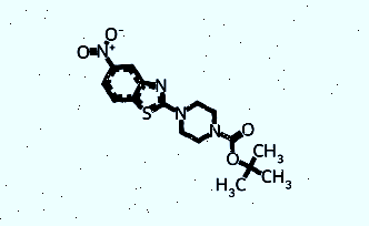 CC(C)(C)OC(=O)N1CCN(c2nc3cc([N+](=O)[O-])ccc3s2)CC1